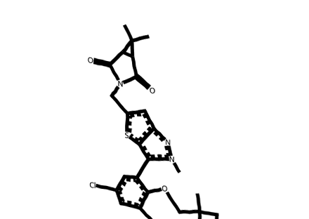 Cc1cc(Cl)cc(-c2c3sc(CN4C(=O)C5C(C4=O)C5(C)C)cc3nn2C)c1OCC1(C)CNC1